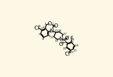 O=C1OCc2c(Cl)cccc2N1C1CCN(S(=O)(=O)c2cc(Cl)ccc2F)CC1